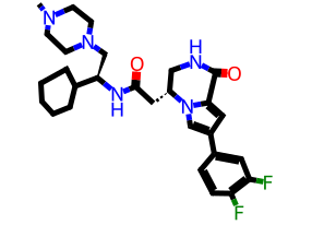 CN1CCN(C[C@@H](NC(=O)C[C@@H]2CNC(=O)c3cc(-c4ccc(F)c(F)c4)cn32)C2CCCCC2)CC1